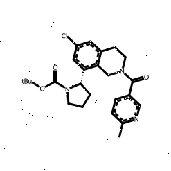 Cc1ccc(C(=O)N2CCc3cc(Cl)cc([C@@H]4CCCN4C(=O)OC(C)(C)C)c3C2)cn1